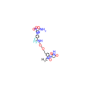 Cn1c(=O)n(C2CCC(=O)NC2=O)c2ccc(CCCOCCOCCNC(c3ccc(-n4cc([N+](=O)[O-])c(C(N)=O)n4)cc3)C(F)(F)F)cc21